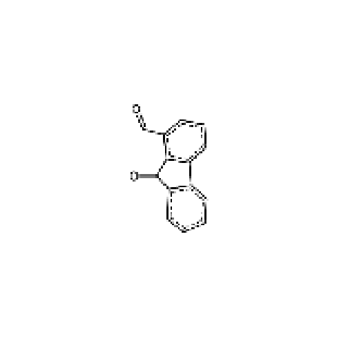 O=Cc1cccc2c1C(=O)c1ccccc1-2